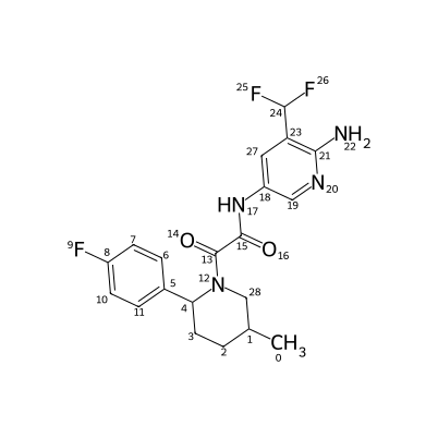 CC1CCC(c2ccc(F)cc2)N(C(=O)C(=O)Nc2cnc(N)c(C(F)F)c2)C1